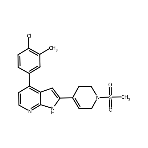 Cc1cc(-c2ccnc3[nH]c(C4=CCN(S(C)(=O)=O)CC4)cc23)ccc1Cl